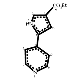 CCOC(=O)c1c[nH]c(-c2ccncc2)c1